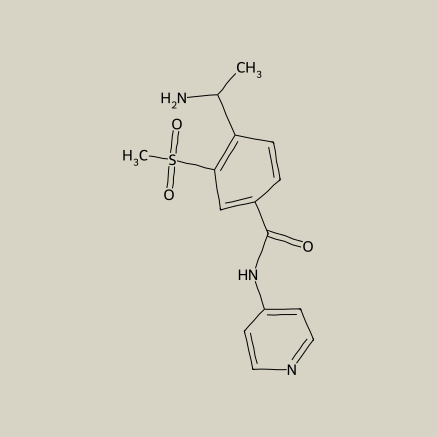 CC(N)c1ccc(C(=O)Nc2ccncc2)cc1S(C)(=O)=O